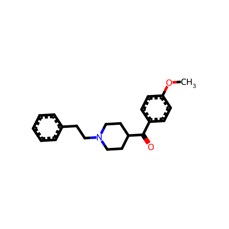 COc1ccc(C(=O)C2CCN(CCc3ccccc3)CC2)cc1